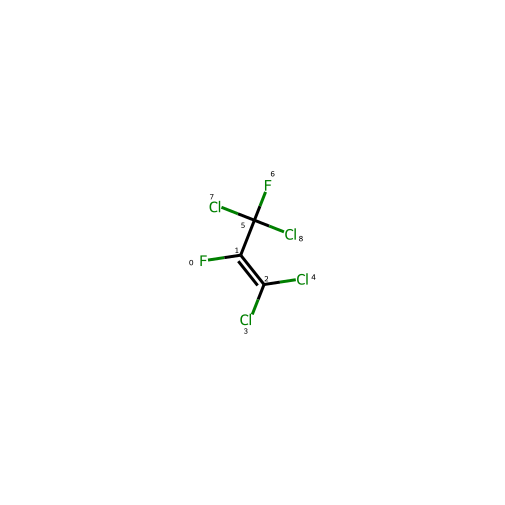 FC(=C(Cl)Cl)C(F)(Cl)Cl